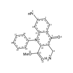 CCCc1ccc2c(=O)c(CN)c(C(=O)OC)n(-c3ccccc3)c2c1